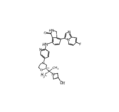 CC(C)([C@@H]1CN(c2ccc(Nc3ccc(-c4cnc5cc(F)ccn45)c4c3C(=O)NC4)nc2)CCO1)N1CC(O)C1